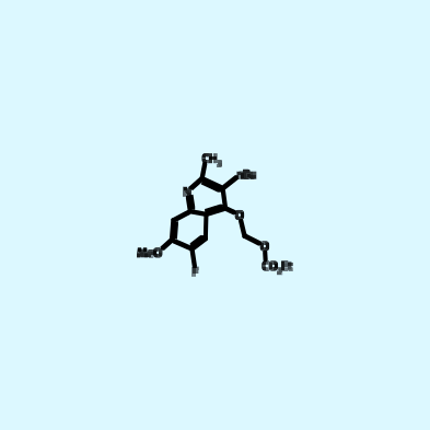 CCCCc1c(C)nc2cc(OC)c(F)cc2c1OCOC(=O)OCC